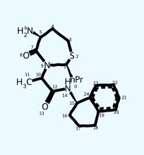 CCC[C@@H]1SCC[C@H](N)C(=O)N1C(C)C(=O)N[C@@H]1CCCc2ccccc21